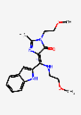 COCCN/C(=C1/N=C(C)N(CCOC)C1=O)c1cc2ccccc2[nH]1